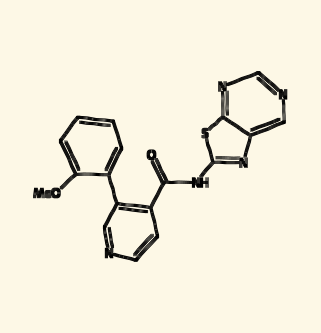 COc1ccccc1-c1cnccc1C(=O)Nc1nc2cncnc2s1